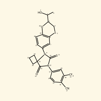 CC(O)C1CSc2cc(N3C(=S)N(c4ccc(C#N)c(C(F)(F)F)c4)C(=O)C34CCC4)ccc2O1